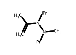 C=C(C)N(C(C)C)N(C)C(C)C